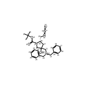 CC(C)(C)OC(=O)N1CC(O)(CN(Cc2ccccc2)Cc2ccccc2)C[C@H]1CN=[N+]=[N-]